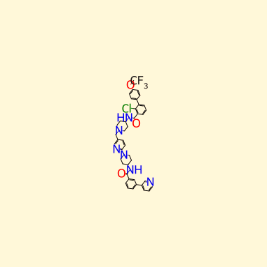 O=C(NC1CCN(c2ccc(CN3CCC(NC(=O)c4cccc(-c5ccc(OC(F)(F)F)cc5)c4Cl)CC3)cn2)CC1)c1cccc(-c2cccnc2)c1